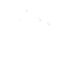 COC(=O)c1cc(C(F)(F)F)n[nH]c1=O